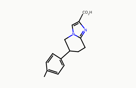 Cc1ccc(C2CCc3nc(C(=O)O)cn3C2)cc1